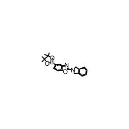 CC1(C)OB(c2ccc3oc(N4Cc5ccccc5C4)nc3c2)OC1(C)C